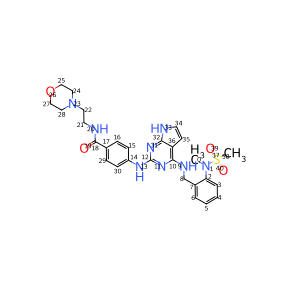 CN(c1ccccc1CNc1nc(Nc2ccc(C(=O)NCCN3CCOCC3)cc2)nc2[nH]ccc12)S(C)(=O)=O